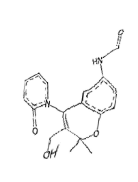 CC1(C)Oc2ccc(NC=O)cc2C(n2ccccc2=O)=C1CO